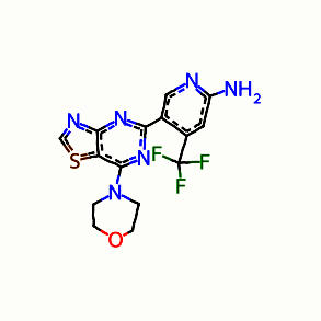 Nc1cc(C(F)(F)F)c(-c2nc(N3CCOCC3)c3scnc3n2)cn1